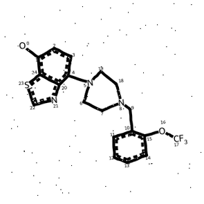 [O]c1ccc(N2CCN(Cc3ccccc3OC(F)(F)F)CC2)c2ncsc12